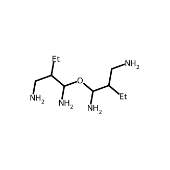 CCC(CN)C(N)OC(N)C(CC)CN